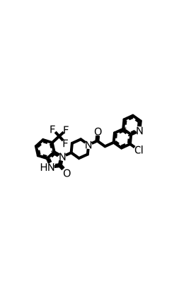 O=C(Cc1cc(Cl)c2ncccc2c1)N1CCC(n2c(=O)[nH]c3cccc(C(F)(F)F)c32)CC1